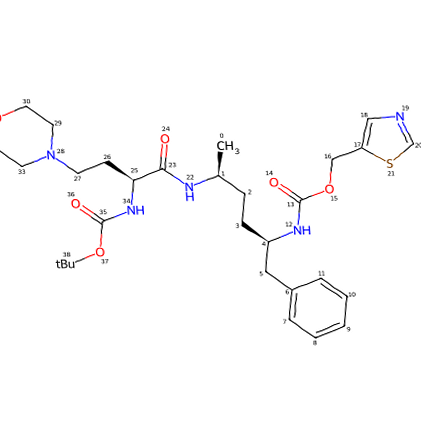 C[C@@H](CC[C@H](Cc1ccccc1)NC(=O)OCc1cncs1)NC(=O)[C@H](CCN1CCOCC1)NC(=O)OC(C)(C)C